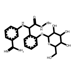 CC(C)(C)NC(=O)C(Nc1cccc(C(=N)N)c1)c1ccccc1OC1OC(CO)C(O)C(O)C1O